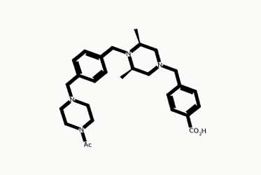 CC(=O)N1CCN(Cc2ccc(CN3[C@H](C)CN(Cc4ccc(C(=O)O)cc4)C[C@@H]3C)cc2)CC1